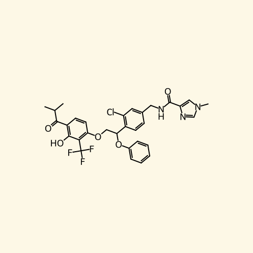 CC(C)C(=O)c1ccc(OCC(Oc2ccccc2)c2ccc(CNC(=O)c3cn(C)cn3)cc2Cl)c(C(F)(F)F)c1O